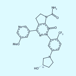 COc1cncc(-c2nn(-c3cc(N4CC[C@H](O)C4)ccc3C(F)(F)F)c(=O)c3c2CCN3C(N)=O)c1